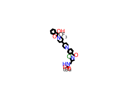 CC(C)(C)OC(=O)NCC1CN(C(=O)c2ccc(N3CCC(C4CCN(C(=O)[C@](O)(c5ccccc5)C(F)(F)F)CC4)CC3)cc2Cl)C1